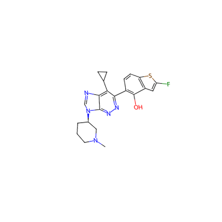 CN1CCC[C@@H](n2cnc3c(C4CC4)c(-c4ccc5sc(F)cc5c4O)nnc32)C1